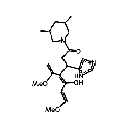 C=C(OC)/C(=C(O)\C=C\OC)C(CC(=O)N1C[C@H](C)C[C@H](C)C1)c1cnc[nH]1